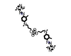 Cc1cc(N(C)CCCOS(=O)(=O)OCCCN(C)c2ccc(/N=N/c3n(C)cn[n+]3C)c(C)c2)ccc1/N=N/c1n(C)cn[n+]1C